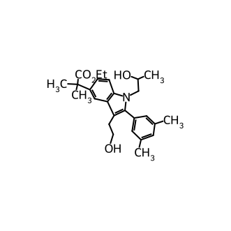 CCOC(=O)C(C)(C)c1ccc2c(c1)c(CCO)c(-c1cc(C)cc(C)c1)n2CC(C)O